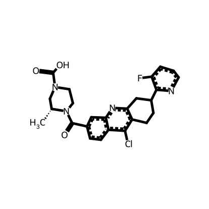 C[C@@H]1CN(C(=O)O)CCN1C(=O)c1ccc2c(Cl)c3c(nc2c1)CC(c1ncccc1F)CC3